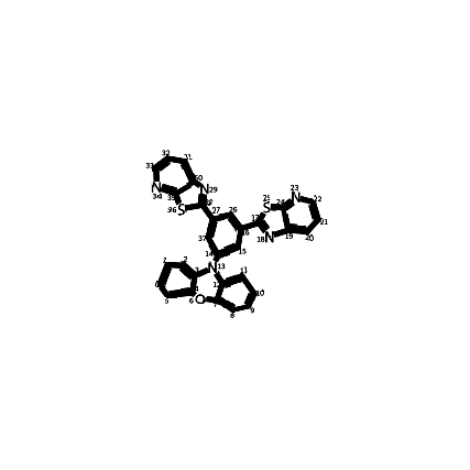 c1ccc2c(c1)Oc1ccccc1N2c1cc(-c2nc3cccnc3s2)cc(-c2nc3cccnc3s2)c1